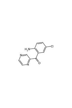 Nc1ccc(Cl)cc1C(=O)c1cnccn1